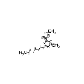 CCCCCCCC[C@H]1C[C@H](C(=O)OCC)CN(C)C1